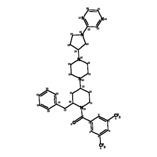 O=C(c1cc(C(F)(F)F)cc(C(F)(F)F)c1)N1CCC(N2CCN(C3CCN(c4cnccn4)C3)CC2)CC1Cc1ccccc1